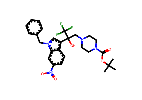 CC(C)(C)OC(=O)N1CCN(CC(O)(c2cn(Cc3ccccc3)c3cc([N+](=O)[O-])ccc23)C(F)(F)F)CC1